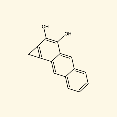 Oc1c2c(c3cc4ccccc4cc3c1O)C2